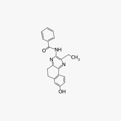 CCc1nc2c(nc1NC(=O)c1ccccc1)CCc1cc(O)ccc1-2